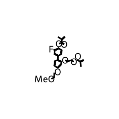 C=C(C)C(=O)OCCOc1cc(OCCOC)ccc1-c1ccc(OC(=O)C(=C)C)c(F)c1